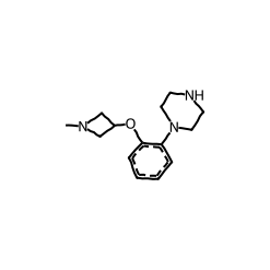 CN1CC(Oc2ccccc2N2CCNCC2)C1